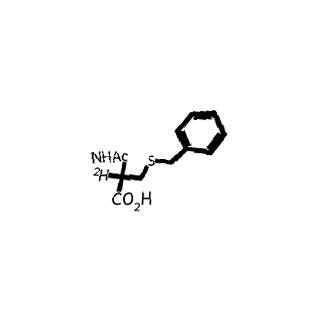 [2H]C(CSCc1ccccc1)(NC(C)=O)C(=O)O